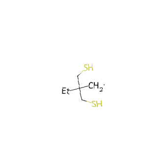 [CH2]C(CC)(CS)CS